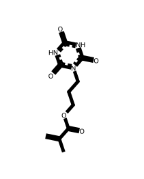 C=C(C)C(=O)OCCCn1c(=O)[nH]c(=O)[nH]c1=O